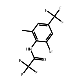 Cc1cc(C(F)(F)F)cc(Br)c1NC(=O)C(F)(F)F